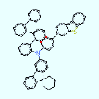 c1ccc(-c2ccccc2-c2ccccc2-c2ccccc2N(c2ccc(-c3ccc4c(c3)sc3ccccc34)cc2)c2ccc3c(c2)-c2ccccc2C32CCCCC2)cc1